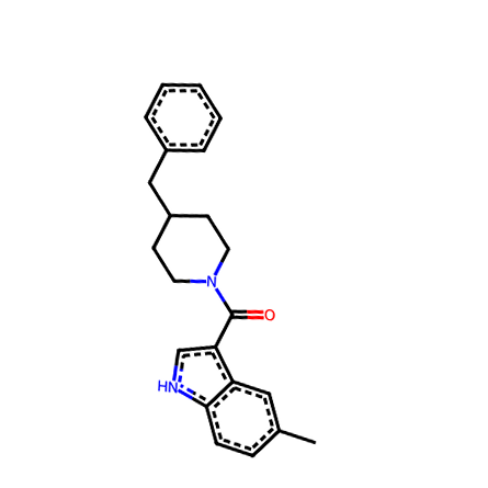 Cc1ccc2[nH]cc(C(=O)N3CCC(Cc4ccccc4)CC3)c2c1